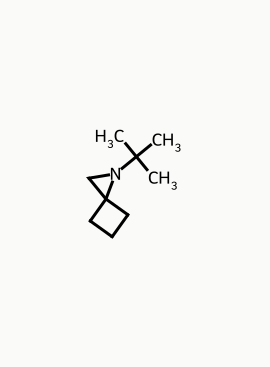 CC(C)(C)N1CC12CCC2